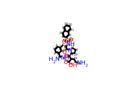 N=C(N)c1cccc(C[C@H](NS(=O)(=O)c2ccc3ccccc3c2)C(=O)N2CCC[C@H]2C(=O)C(CCN)C(=O)O)c1